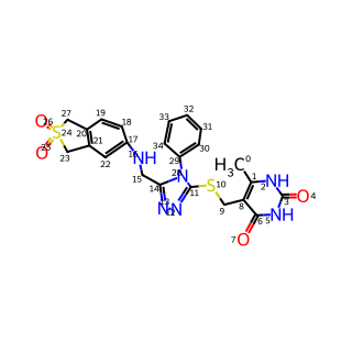 Cc1[nH]c(=O)[nH]c(=O)c1CSc1nnc(CNc2ccc3c(c2)CS(=O)(=O)C3)n1-c1ccccc1